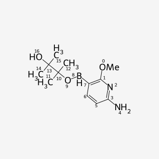 COc1nc(N)ccc1BOC(C)(C)C(C)(C)O